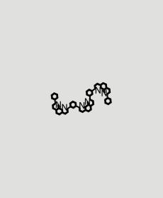 c1ccc(-c2ccc3ccc4ccc(-c5cccc(-c6ccc7ccc8ccc(-c9cccc(-c%10ccc%11ccc%12ccc(-c%13ccccc%13)nc%12c%11n%10)c9)nc8c7n6)c5)nc4c3n2)cc1